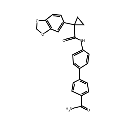 NC(=O)c1ccc(-c2ccc(NC(=O)C3(c4ccc5c(c4)OCO5)CC3)cc2)cc1